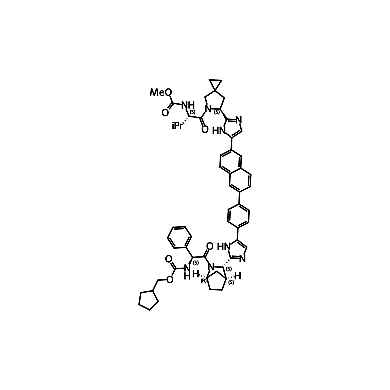 COC(=O)N[C@H](C(=O)N1CC2(CC2)C[C@H]1c1ncc(-c2ccc3cc(-c4ccc(-c5cnc([C@@H]6[C@H]7CC[C@H](C7)N6C(=O)[C@@H](NC(=O)OCC6CCCC6)c6ccccc6)[nH]5)cc4)ccc3c2)[nH]1)C(C)C